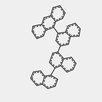 [c]1cccc2cc(-c3ccc(-c4cccc5ccccc45)c4ccccc34)cc(-c3c4ccccc4cc4ccccc34)c12